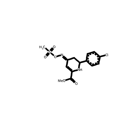 COC(=O)C1=C/C(=N\OS(C)(=O)=O)CC(c2ccc(Cl)cc2)N1